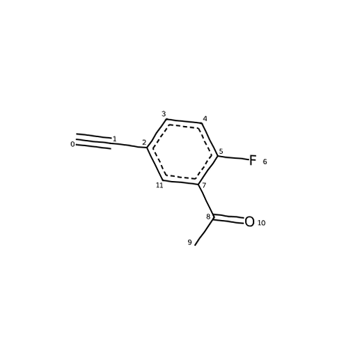 C#Cc1ccc(F)c(C(C)=O)c1